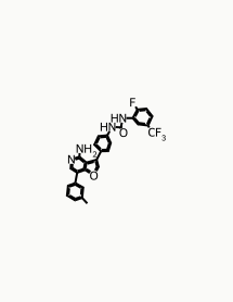 Cc1cccc(-c2cnc(N)c3c(-c4ccc(NC(=O)Nc5cc(C(F)(F)F)ccc5F)cc4)coc23)c1